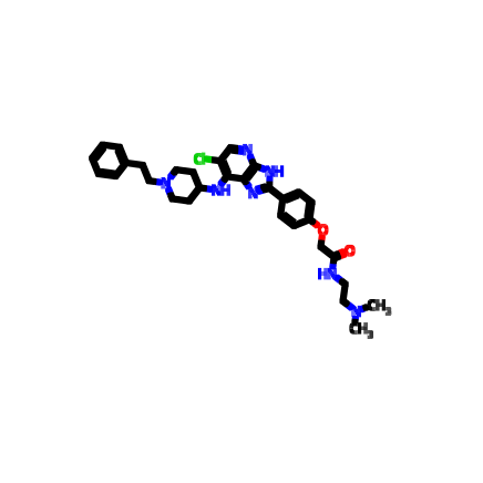 CN(C)CCNC(=O)COc1ccc(-c2nc3c(NC4CCN(CCc5ccccc5)CC4)c(Cl)cnc3[nH]2)cc1